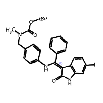 CN(Cc1ccc(N/C(=C2\C(=O)Nc3cc(I)ccc32)c2ccccc2)cc1)C(=O)OC(C)(C)C